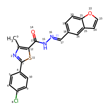 Cc1nc(-c2ccc(Cl)cc2)sc1C(=O)N/N=C/c1ccc2occc2c1